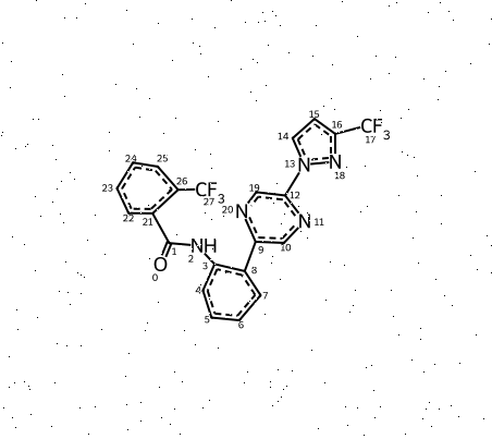 O=C(Nc1ccccc1-c1cnc(-n2ccc(C(F)(F)F)n2)cn1)c1ccccc1C(F)(F)F